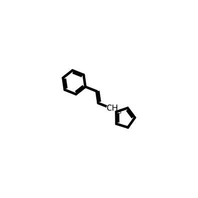 C1=CCC=C1.CC=Cc1ccccc1